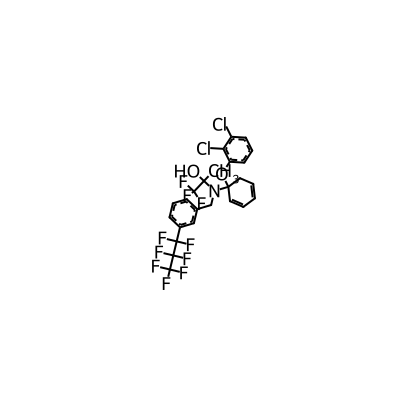 CC(O)(N(Cc1cccc(C(F)(F)C(F)(F)C(F)(F)F)c1)C1(Oc2cccc(Cl)c2Cl)C=CC=CC1)C(F)(F)F